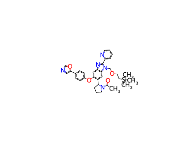 CC(=O)N1CCCC1c1cc2c(cc1Oc1ccc(-c3cnco3)cc1)nc(-c1ccccn1)n2COCC[Si](C)(C)C